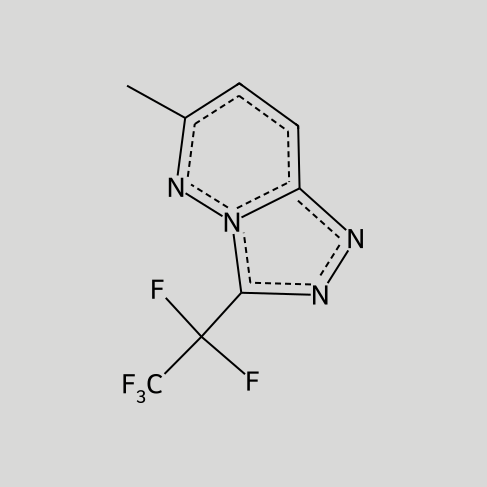 Cc1ccc2nnc(C(F)(F)C(F)(F)F)n2n1